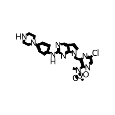 CN(c1ncc(Cl)nc1Cn1ccc2cnc(Nc3ccc(N4CCNCC4)cc3)nc21)S(C)(=O)=O